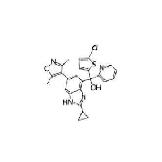 Cc1noc(C)c1-c1cc(C(O)(c2ccccn2)c2ccc(Cl)s2)c2nc(C3CC3)[nH]c2c1